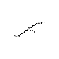 CCCCCCCCCCCCCCOCCCCCCCCCCCCCC.N